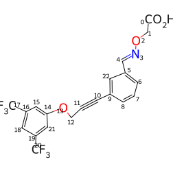 O=C(O)CO/N=C/c1cccc(C#CCOc2cc(C(F)(F)F)cc(C(F)(F)F)c2)c1